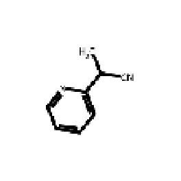 CC(C#N)c1ccccn1